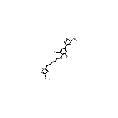 Cc1cc(CCCCCOc2c(Cl)cc(-c3nnn(C)n3)cc2Cl)on1